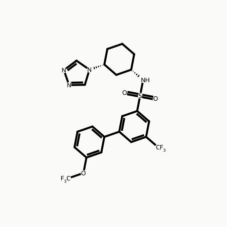 O=S(=O)(N[C@H]1CCC[C@@H](n2cnnc2)C1)c1cc(-c2cccc(OC(F)(F)F)c2)cc(C(F)(F)F)c1